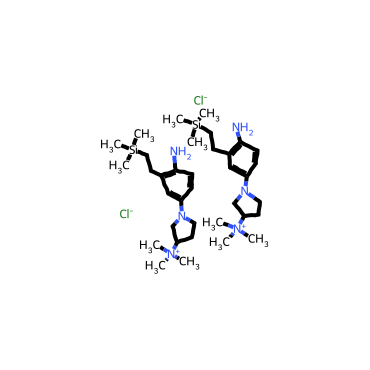 C[N+](C)(C)C1CCN(c2ccc(N)c(CC[Si](C)(C)C)c2)C1.C[N+](C)(C)C1CCN(c2ccc(N)c(CC[Si](C)(C)C)c2)C1.[Cl-].[Cl-]